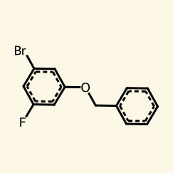 Fc1cc(Br)cc(OCc2ccccc2)c1